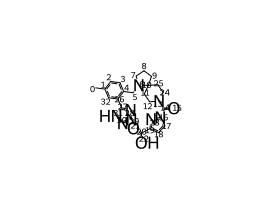 Cc1ccc(CN2CCCC23CCN(C(=O)n2ccc(C(=O)O)n2)CC3)c(-c2nnn[nH]2)c1